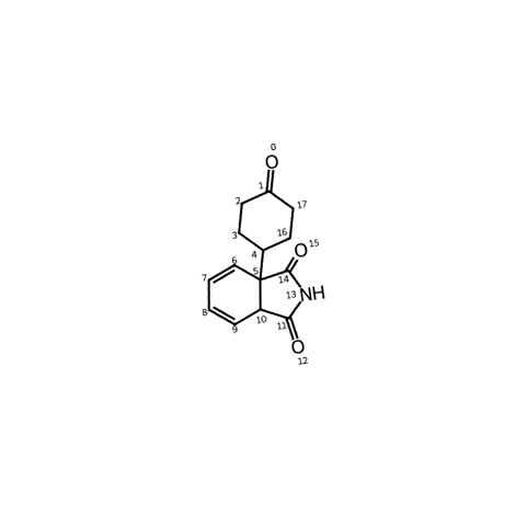 O=C1CCC(C23C=CC=CC2C(=O)NC3=O)CC1